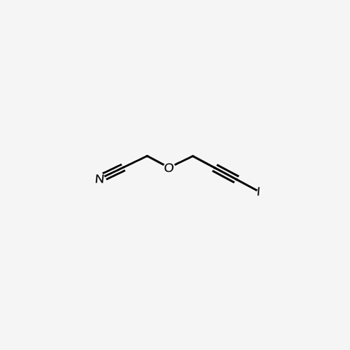 N#CCOCC#CI